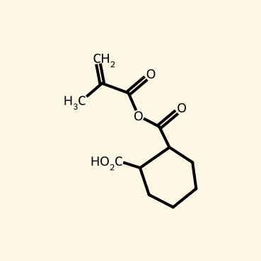 C=C(C)C(=O)OC(=O)C1CCCCC1C(=O)O